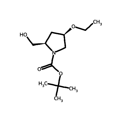 CCO[C@@H]1C[C@H](CO)N(C(=O)OC(C)(C)C)C1